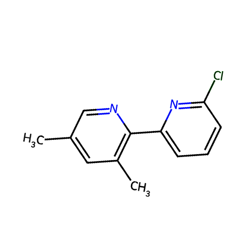 Cc1cnc(-c2cccc(Cl)n2)c(C)c1